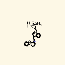 C[N+](C)(C)CCCN1C=C/C(=C/C=C2/CCC[n+]3c2sc2ccccc23)c2ccccc21